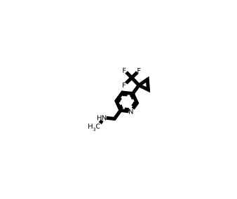 CNCc1ccc(C2(C(F)(F)F)CC2)cn1